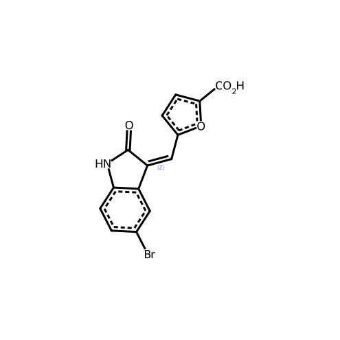 O=C1Nc2ccc(Br)cc2/C1=C/c1ccc(C(=O)O)o1